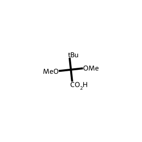 COC(OC)(C(=O)O)C(C)(C)C